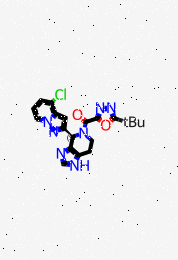 CC(C)(C)c1nnc(C(=O)N2CCc3[nH]cnc3[C@H]2c2cc3c(Cl)cccn3n2)o1